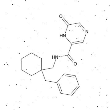 O=C(NCC1(Cc2ccccc2)CCCCC1)c1cncc(=O)[nH]1